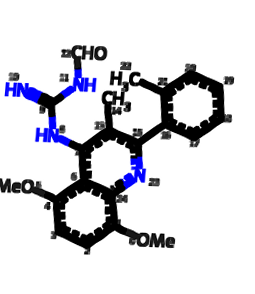 COc1ccc(OC)c2c(NC(=N)NC=O)c(C)c(-c3ccccc3C)nc12